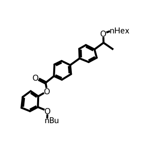 CCCCCCOC(C)c1ccc(-c2ccc(C(=O)Oc3ccccc3OCCCC)cc2)cc1